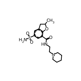 CC1Cc2cc(S(N)(=O)=O)cc(C(=O)NCCN3CCCCC3)c2O1